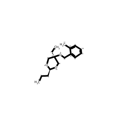 CCC[C@H]1OC[C@@](CC)(OCc2ccccc2C)CO1